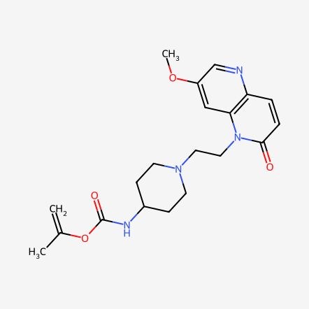 C=C(C)OC(=O)NC1CCN(CCn2c(=O)ccc3ncc(OC)cc32)CC1